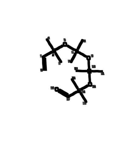 C=C[Si](C)(C)O[Si](C)(C)O[Si](C)(C)O[Si](C)(C)C=O